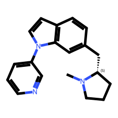 CN1CCC[C@H]1Cc1ccc2ccn(-c3cccnc3)c2c1